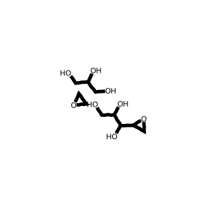 C1CO1.OCC(O)C(O)C1CO1.OCC(O)CO